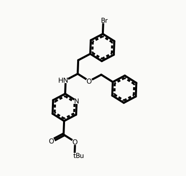 CC(C)(C)OC(=O)c1ccc(NC(Cc2cccc(Br)c2)OCc2ccccc2)nc1